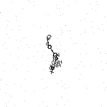 CC(C)(C)c1cc(NC(=O)Nc2cc3ncc(C#Cc4ccc(OCCN5CCCCC5)cc4)cn3n2)no1